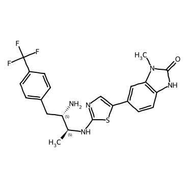 C[C@H](Nc1ncc(-c2ccc3[nH]c(=O)n(C)c3c2)s1)[C@@H](N)Cc1ccc(C(F)(F)F)cc1